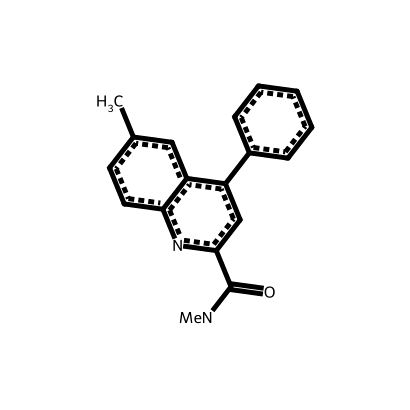 CNC(=O)c1cc(-c2ccccc2)c2cc(C)ccc2n1